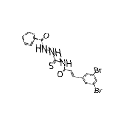 O=C(/C=C/c1cc(Br)cc(Br)c1)NC(=S)NNC(=O)c1ccccc1